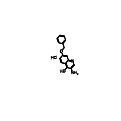 Cl.Nc1cnc2cc(OCc3ccccc3)ccc2c1O